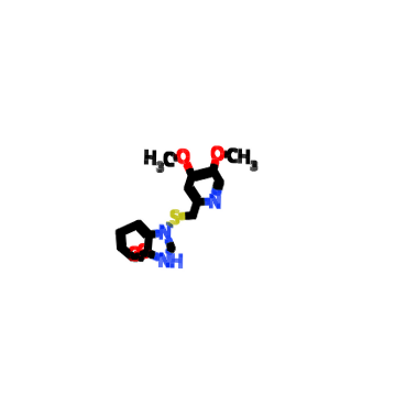 COc1cnc(CSN2CNC34OCOC3C=CC=C24)cc1OC